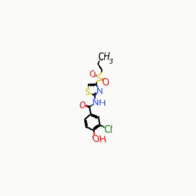 CCCS(=O)(=O)c1csc(NC(=O)c2ccc(O)c(Cl)c2)n1